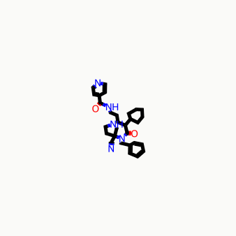 N#CC1(N(Cc2ccccc2)C(=O)C(CCCNC(=O)c2ccncc2)C2CCCCC2)CCNC1